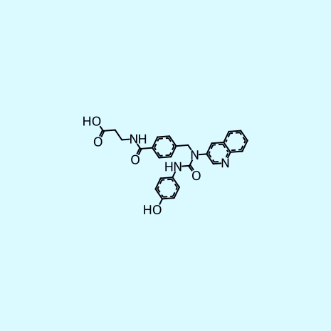 O=C(O)CCNC(=O)c1ccc(CN(C(=O)Nc2ccc(O)cc2)c2cnc3ccccc3c2)cc1